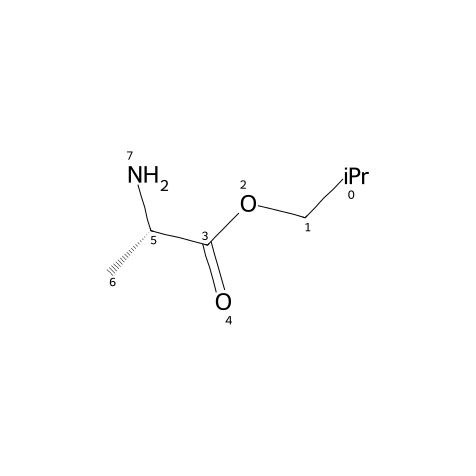 CC(C)COC(=O)[C@H](C)N